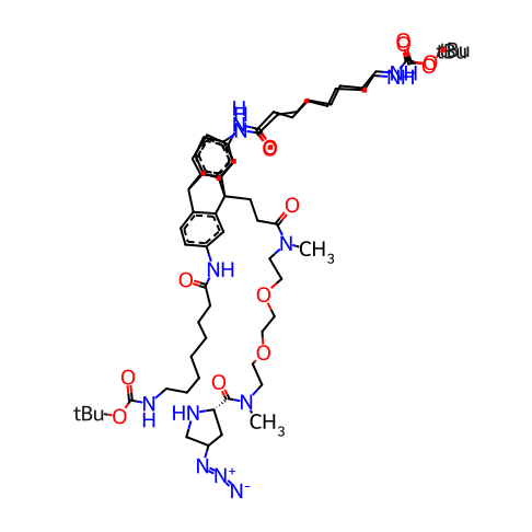 CN(CCOCCOCCN(C)C(=O)[C@@H]1CC(N=[N+]=[N-])CN1)C(=O)CCC12c3cc(NC(=O)CCCCCCCNC(=O)OC(C)(C)C)ccc3C(c3ccc(NC(=O)CCCCCCCNC(=O)OC(C)(C)C)cc31)c1ccc(NC(=O)CCCCCCCNC(=O)OC(C)(C)C)cc12